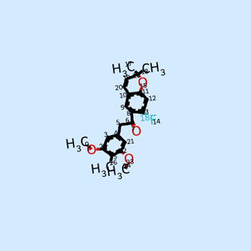 COc1cc(CC(=O)c2cc3c(cc2[18F])OC(C)(C)C=C3)cc(OC)c1C